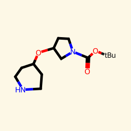 CC(C)(C)OC(=O)N1CCC(OC2CCNCC2)C1